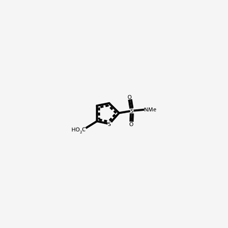 CNS(=O)(=O)c1ccc(C(=O)O)s1